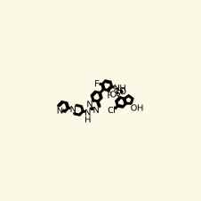 O=S(=O)(Nc1ccc(F)c(-c2ccc3nc(NC4CCN(c5cccnc5)CC4)ncc3c2)c1F)c1cc(Cl)cc2c1CCC2O